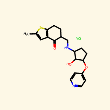 Cc1cc2c(s1)CCC(CNC1CCC(Oc3ccncc3)C1O)C2=O.Cl